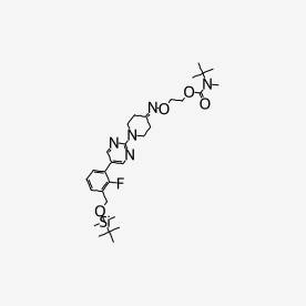 CN(C(=O)OCCON=C1CCN(c2ncc(-c3cccc(CO[Si](C)(C)C(C)(C)C)c3F)cn2)CC1)C(C)(C)C